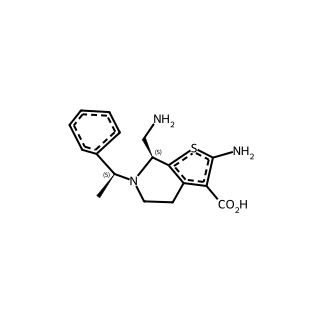 C[C@@H](c1ccccc1)N1CCc2c(sc(N)c2C(=O)O)[C@@H]1CN